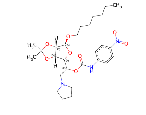 CCCCCCCO[C@H]1O[C@H]([C@@H](CN2CCCC2)OC(=O)Nc2ccc([N+](=O)[O-])cc2)[C@@H]2OC(C)(C)O[C@H]12